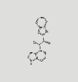 O=C(C(=O)c1cccc2[nH]ccc12)c1nc2ccccc2o1